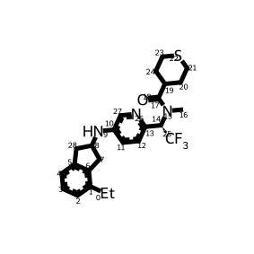 CCc1cccc2c1CC(Nc1ccc([C@H](N(C)C(=O)C3CCSCC3)C(F)(F)F)nc1)C2